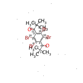 CC(C)(C)C(=O)c1c(Br)c(Br)c(C(=O)C(C)(C)C)c(Br)c1Br